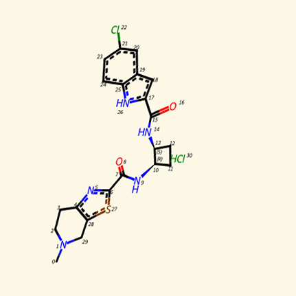 CN1CCc2nc(C(=O)N[C@@H]3CC[C@@H]3NC(=O)c3cc4cc(Cl)ccc4[nH]3)sc2C1.Cl